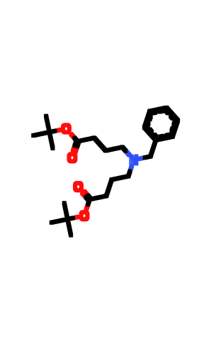 CC(C)(C)OC(=O)CCCN(CCCC(=O)OC(C)(C)C)Cc1ccccc1